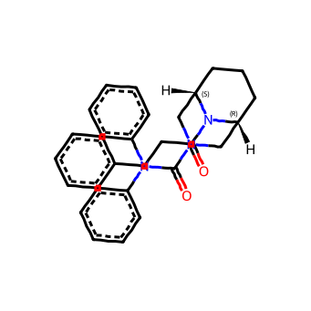 O=C(N1C[C@H]2CCC[C@@H](C1)N2C(=O)CCc1ccccc1)N(c1ccccc1)c1ccccc1